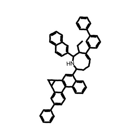 CCC1/C(c2cccc(-c3ccccc3)c2)=C\CCC(c2cc3c(c4ccccc24)-c2ccc(-c4ccccc4)cc2C2CC32)NC1c1ccc2ccccc2c1